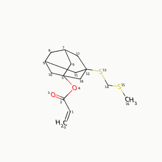 C=CC(=O)OC12CC3CC(C1)CC(SCSC)(C3)C2